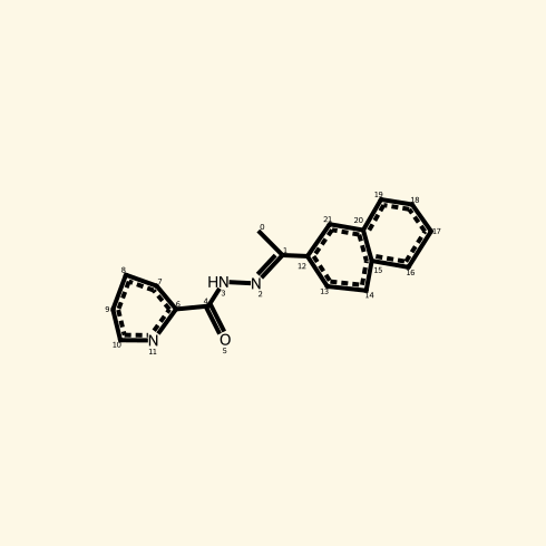 C/C(=N\NC(=O)c1ccccn1)c1ccc2ccccc2c1